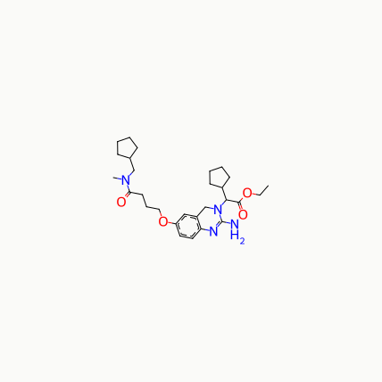 CCOC(=O)C(C1CCCC1)N1Cc2cc(OCCCC(=O)N(C)CC3CCCC3)ccc2N=C1N